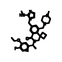 CCOc1cc([C@H](C)N2CC3(CCC3)c3c(CN4CCN(C)CC4)cc(Cn4ccnc4NC)cc3C2=O)ncc1F